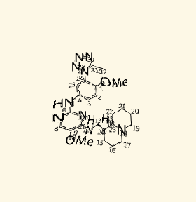 COc1ccc(Nc2ncc(OC)c(NC[C@@H]3CCCN4CCCC[C@H]34)n2)cc1-n1nnnc1C